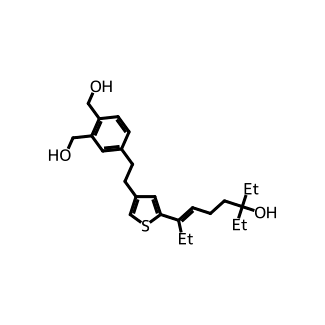 CCC(=CCCC(O)(CC)CC)c1cc(CCc2ccc(CO)c(CO)c2)cs1